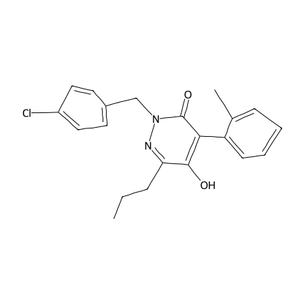 CCCc1nn(Cc2ccc(Cl)cc2)c(=O)c(-c2ccccc2C)c1O